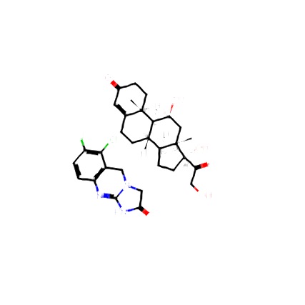 C[C@]12CCC(=O)C=C1CC[C@@H]1[C@@H]2[C@@H](O)C[C@@]2(C)[C@H]1CC[C@]2(O)C(=O)CO.O=C1CN2Cc3c(ccc(Cl)c3Cl)N=C2N1